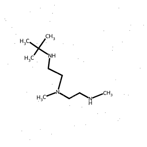 CNCCN(C)CCNC(C)(C)C